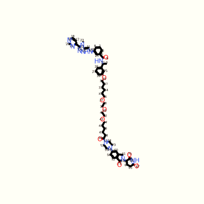 CC(NC(=O)c1cccc(NCc2nnc(-c3ccncn3)n2C)c1)c1cccc(OCCCCCCOCCOCCOCCCCCC(=O)N2CCN(c3ccc4c(c3)CN(C3CCC(=O)NC3=O)C4=O)CC2)c1